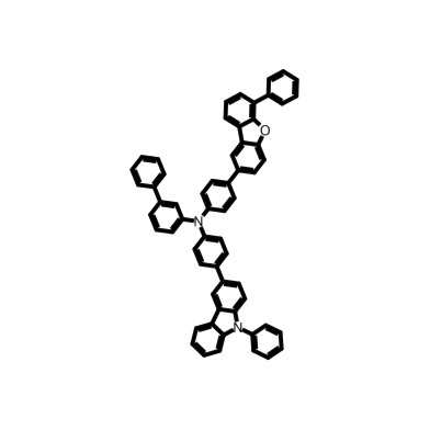 c1ccc(-c2cccc(N(c3ccc(-c4ccc5oc6c(-c7ccccc7)cccc6c5c4)cc3)c3ccc(-c4ccc5c(c4)c4ccccc4n5-c4ccccc4)cc3)c2)cc1